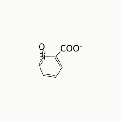 O=C([O-])[C]1=CC=C[CH]=[Bi]1=[O]